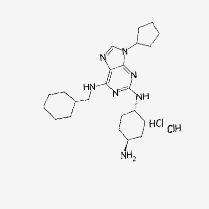 Cl.Cl.N[C@H]1CC[C@H](Nc2nc(NCC3CCCCC3)c3ncn(C4CCCC4)c3n2)CC1